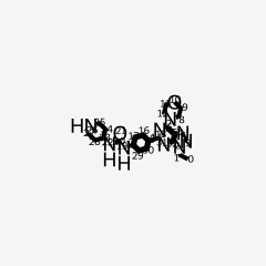 CCn1nnc2c(N3CCOCC3)nc(-c3ccc(NC(=O)NC4CCNCC4)cc3)nc21